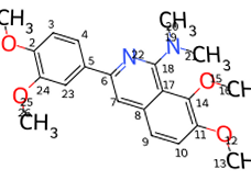 COc1ccc(-c2cc3ccc(OC)c(OC)c3c(N(C)C)n2)cc1OC